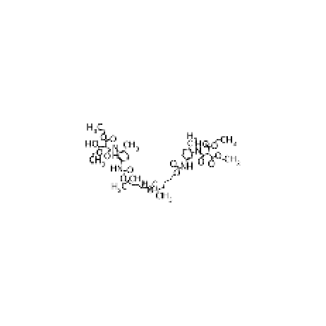 CCOC(=O)C(C(=O)Nc1cc(NC(=O)OCCCCC(C)(C)OCCCCC(C)(C)OC(=O)Nc2ccc(C)c(NC(=O)C(C(=O)OCC)C(O)OCC)c2)ccc1C)C(=O)OCC